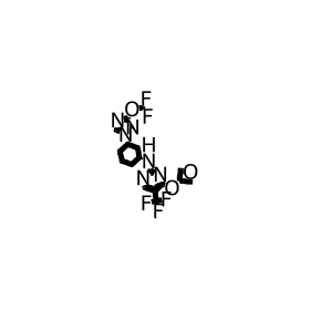 FC(F)Oc1ncn([C@H]2CCC[C@@H](Nc3ncc(C(F)(F)F)c(OC4COC4)n3)C2)n1